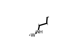 CCC[NH][W]